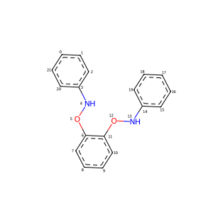 c1ccc(NOc2ccccc2ONc2ccccc2)cc1